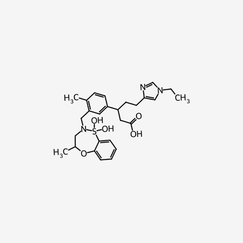 CCn1cnc(CCC(CC(=O)O)c2ccc(C)c(CN3CC(C)Oc4ccccc4S3(O)O)c2)c1